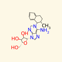 CC1CCc2ccccc2C1N1CN=c2c(ncn2[C@@H]2O[C@H](CO)[C@@H](O)[C@H]2O)=C1N